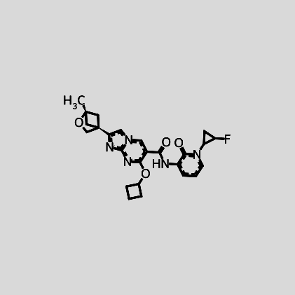 C[C@]12C[C@](c3cn4cc(C(=O)Nc5cccn(C6CC6F)c5=O)c(OC5CCC5)nc4n3)(CO1)C2